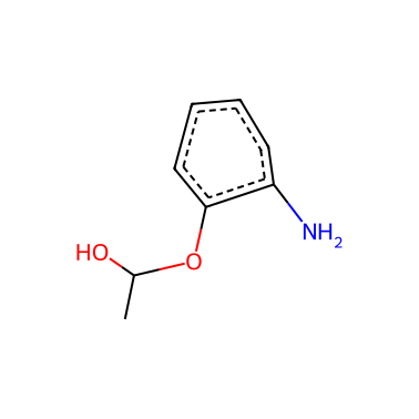 CC(O)Oc1ccccc1N